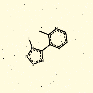 Cc1ncccc1-c1nnnn1I